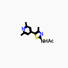 CC(=O)Nc1nc(C)c(-c2cc(C)nc(C)c2)s1